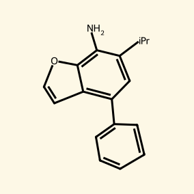 CC(C)c1cc(-c2ccccc2)c2ccoc2c1N